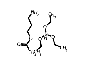 CC(=O)OCCCN.CCO[SiH](OCC)OCC